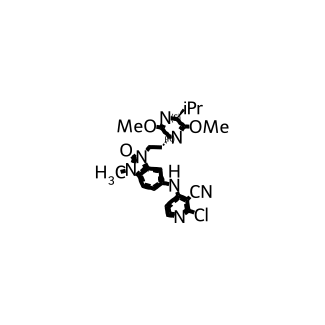 COC1=N[C@H](CCn2c(=O)n(C)c3ccc(Nc4ccnc(Cl)c4C#N)cc32)C(OC)=N[C@H]1C(C)C